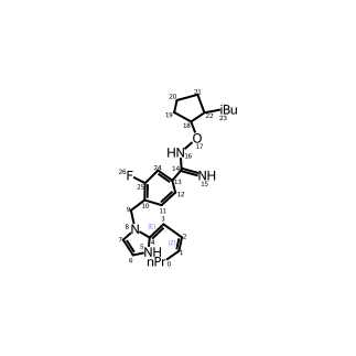 CCC/C=C\C=C1/NC=CN1Cc1ccc(C(=N)NOC2CCCC2C(C)CC)cc1F